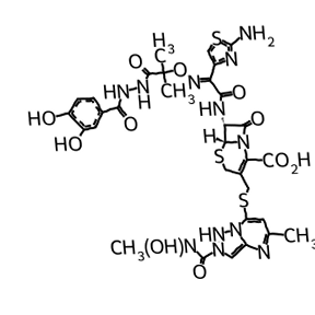 CC1=NC2=CN(C(=O)N(C)O)NN2C(SCC2=C(C(=O)O)N3C(=O)[C@@H](NC(=O)C(=NOC(C)(C)C(=O)NNC(=O)c4ccc(O)c(O)c4)c4csc(N)n4)[C@H]3SC2)=C1